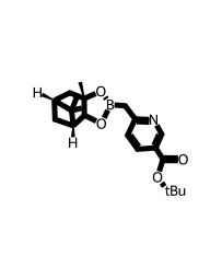 CC(C)(C)OC(=O)c1ccc(CB2OC3[C@@H]4C[C@H](C[C@]3(C)O2)C4(C)C)nc1